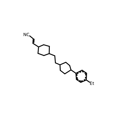 CCc1ccc(C2CCC(CCC3CCC(C=CC#N)CC3)CC2)cc1